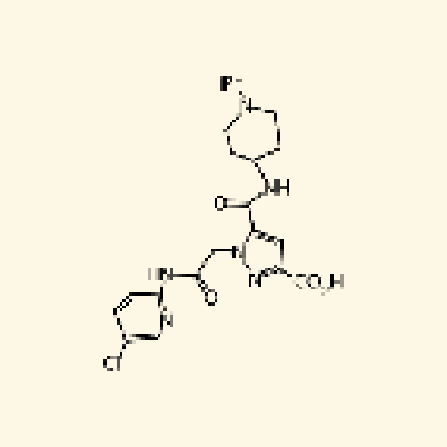 CC(C)N1CCC(NC(=O)c2cc(C(=O)O)nn2CC(=O)Nc2ccc(Cl)cn2)CC1